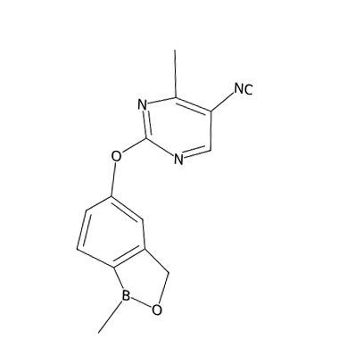 [C-]#[N+]c1cnc(Oc2ccc3c(c2)COB3C)nc1C